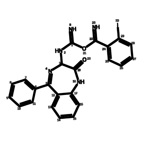 N=C(NC1N=C(c2ccccc2)c2ccccc2NC1=O)OC(=N)c1ccccc1I